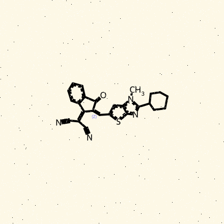 Cn1c(C2CCCCC2)nc2sc(/C=C3\C(=O)c4ccccc4C3=C(C#N)C#N)cc21